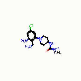 CNC(=O)NC1CCN(c2cc(Cl)cc(N)c2CN)CC1